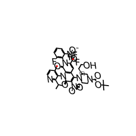 Cc1ccnc(C(C)C)c1-n1c(=O)c([N+](=O)[O-])c(N2CCN(C(=O)OC(C)(C)C)C[C@@H]2CCO)c2cc(C(F)(F)F)n(-c3c(F)cccc3[N+](=O)[O-])c(=O)c21